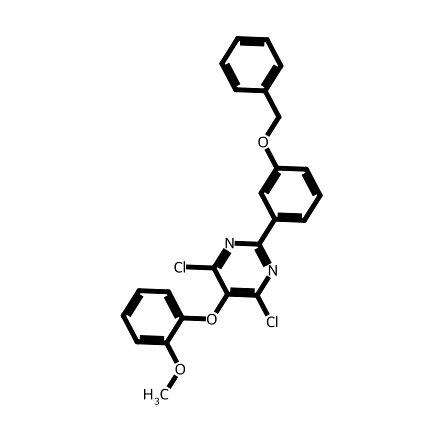 COc1ccccc1Oc1c(Cl)nc(-c2cccc(OCc3ccccc3)c2)nc1Cl